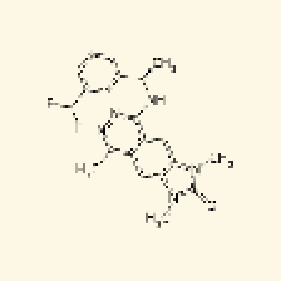 Cc1nnc(N[C@H](C)c2cccc(C(F)F)c2)c2cc3c(cc12)n(C)c(=O)n3C